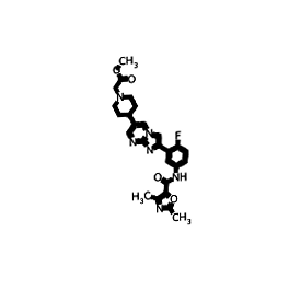 COC(=O)CN1CCC(c2cnc3nc(-c4cc(NC(=O)c5oc(C)nc5C)ccc4F)cn3c2)CC1